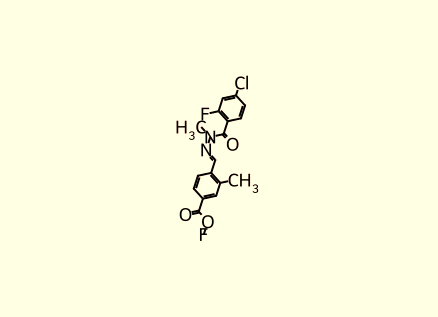 Cc1cc(C(=O)OF)ccc1/C=N/N(C)C(=O)c1ccc(Cl)cc1F